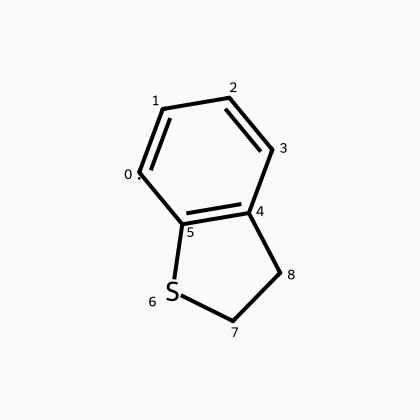 [c]1cccc2c1SCC2